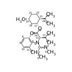 CC/C(=N\C)N(c1ccccc1C)[C@@H](C(=O)O[C@@H]1C[C@H](C)CC[C@H]1C(C)C)C(C)C